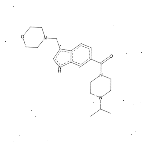 CC(C)N1CCN(C(=O)c2ccc3c(CN4CCOCC4)c[nH]c3c2)CC1